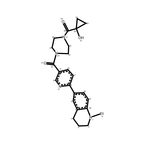 CCN1CCCc2cc(-c3ccc(C(=O)N4CCN(C(=O)C5(O)CC5)CC4)cn3)ccc21